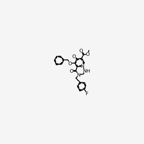 COC(=O)c1cn2c(c(OCc3ccccc3)c1=O)C(=O)N(Cc1ccc(F)cc1)CN2